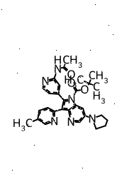 CC(=O)Nc1cc(-c2c(-c3ccc(C)cn3)c3ncc(N4CCCC4)cc3n2C(=O)OC(C)(C)C)ccn1